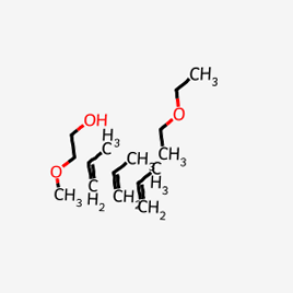 C=CC.C=CC.C=CC.CCOCC.COCCO